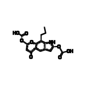 CCCc1c2[nH]c(OC(=O)O)cc2cc2c(=O)cc(OC(=O)O)oc12